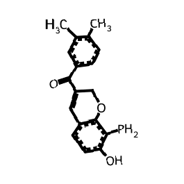 Cc1ccc(C(=O)C2=Cc3ccc(O)c(P)c3OC2)cc1C